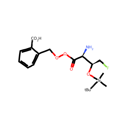 CC(C)(C)[Si](C)(C)O[C@H](CF)[C@H](N)C(=O)OOCc1ccccc1C(=O)O